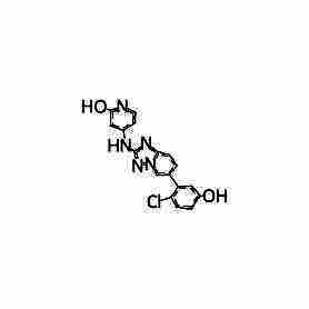 Oc1ccc(Cl)c(-c2ccc3nc(Nc4ccnc(O)c4)nn3c2)c1